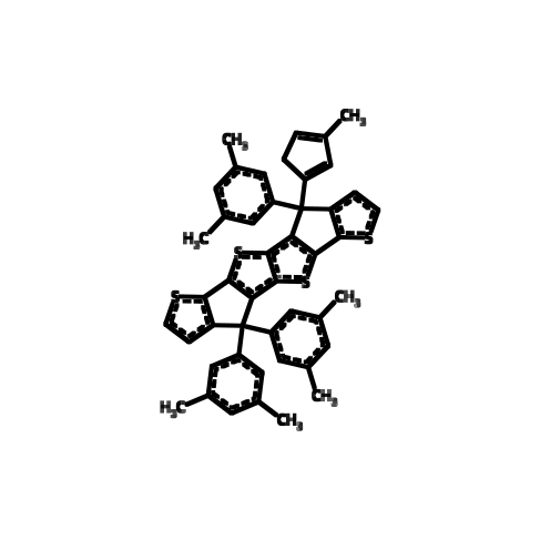 CC1=CCC(C2(c3cc(C)cc(C)c3)c3ccsc3-c3sc4c5c(sc4c32)-c2sccc2C5(c2cc(C)cc(C)c2)c2cc(C)cc(C)c2)=C1